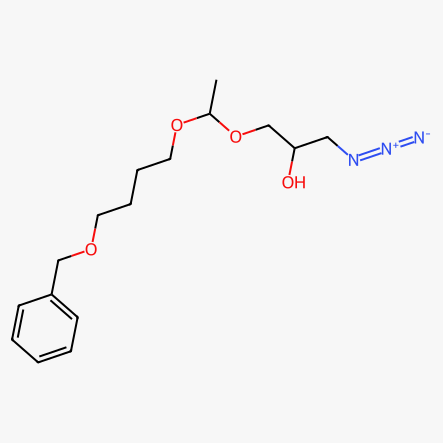 CC(OCCCCOCc1ccccc1)OCC(O)CN=[N+]=[N-]